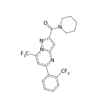 O=C(c1cc2nc(-c3ccccc3C(F)(F)F)cc(C(F)(F)F)n2n1)N1CCCCC1